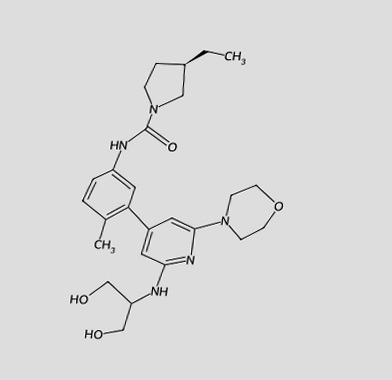 CC[C@@H]1CCN(C(=O)Nc2ccc(C)c(-c3cc(NC(CO)CO)nc(N4CCOCC4)c3)c2)C1